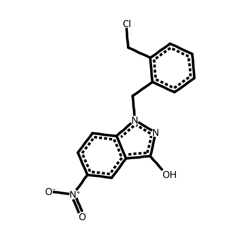 O=[N+]([O-])c1ccc2c(c1)c(O)nn2Cc1ccccc1CCl